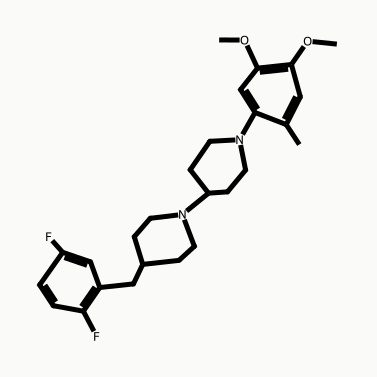 COc1cc(C)c(N2CCC(N3CCC(Cc4cc(F)ccc4F)CC3)CC2)cc1OC